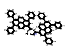 C=C=C(S/C(=C\C)c1cc(-c2ccccc2)c2ccc3c(-c4ccccc4)cc(C4=CCCC=C4)c4ccc1c2c43)c1cc(-c2ccccc2)c2ccc3c(-c4ccccc4)cc(-c4ccccc4)c4ccc1c2c43